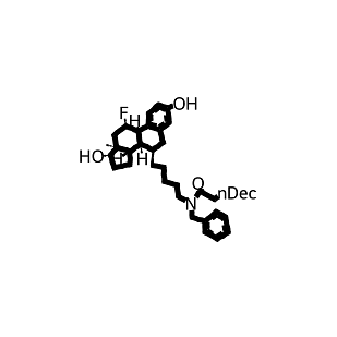 CCCCCCCCCCCC(=O)N(CCCCC[C@@H]1Cc2cc(O)ccc2[C@@H]2[C@@H]1[C@@H]1CC[C@H](O)[C@@]1(C)C[C@@H]2F)Cc1ccccc1